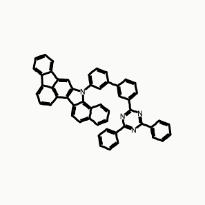 c1ccc(-c2nc(-c3ccccc3)nc(-c3cccc(-c4cccc(-n5c6cc7c8c(cccc8c6c6ccc8ccccc8c65)-c5ccccc5-7)c4)c3)n2)cc1